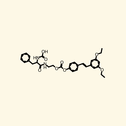 CCOc1cc(/C=C/c2ccc(OC(=O)OCCNC(=O)C(Cc3ccccc3)NC(=O)O)cc2)cc(OCC)c1